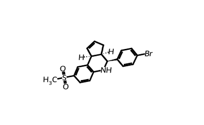 CS(=O)(=O)c1ccc2c(c1)[C@H]1C=CC[C@H]1[C@@H](c1ccc(Br)cc1)N2